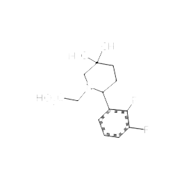 CC1(C)CCC(c2cccc(F)c2F)N(CC(=O)O)C1